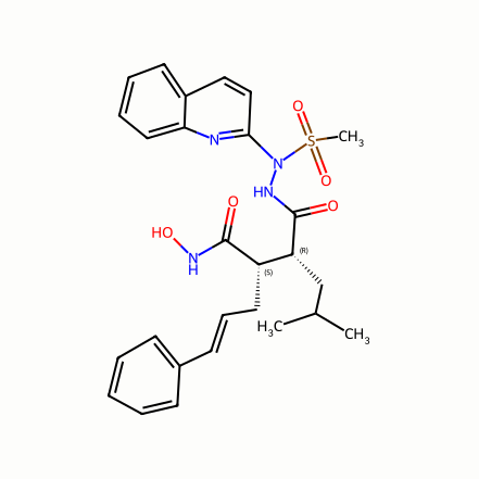 CC(C)C[C@@H](C(=O)NN(c1ccc2ccccc2n1)S(C)(=O)=O)[C@H](CC=Cc1ccccc1)C(=O)NO